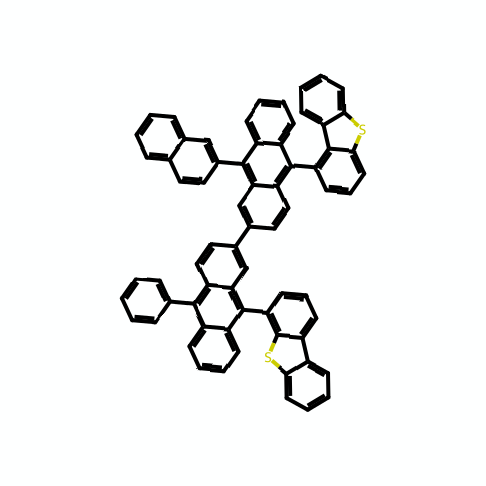 c1ccc(-c2c3ccccc3c(-c3cccc4c3sc3ccccc34)c3cc(-c4ccc5c(-c6cccc7sc8ccccc8c67)c6ccccc6c(-c6ccc7ccccc7c6)c5c4)ccc23)cc1